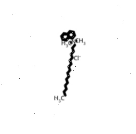 CCCCCCCCCCCCCCCCCC[N+](C)(C)c1cccc2ccccc12.[Cl-]